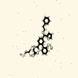 CSCC[C@H](NC(=O)c1ccc(C(OCCc2ccccc2)c2ccco2)cc1-c1ccccc1C)C(=O)O.[Li]